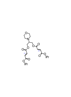 CC(C)OC(=O)/C=C/C(=O)OCC(COC(=O)/C=C/C(=O)OC(C)C)N1CCOCC1